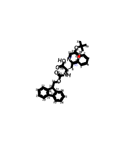 CN1C=CC=C/C1=C(C[C@H](NC(=O)OCC1c2ccccc2-c2ccccc21)C(=O)O)/N=C\C(=O)OC(C)(C)C